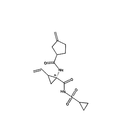 C=CC1C[C@]1(NC(=O)C1CCC(=C)C1)C(=O)NS(=O)(=O)C1CC1